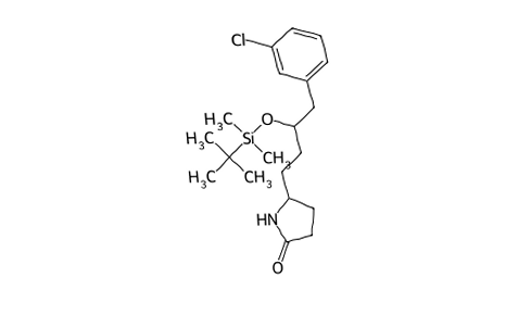 CC(C)(C)[Si](C)(C)OC(CCC1CCC(=O)N1)Cc1cccc(Cl)c1